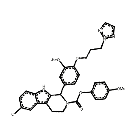 COc1ccc(OC(=O)N2CCc3c([nH]c4ccc(Cl)cc34)C2c2ccc(OCCCn3nccn3)c(OC)c2)cc1